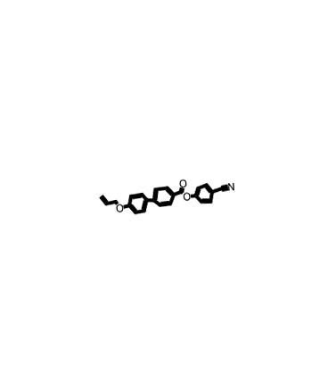 C=CCOc1ccc(-c2ccc(C(=O)Oc3ccc(C#N)cc3)cc2)cc1